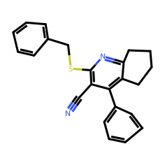 N#Cc1c(SCc2ccccc2)nc2c(c1-c1ccccc1)CCCC2